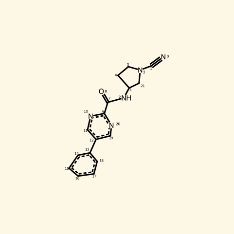 N#CN1CCC(NC(=O)c2ncc(-c3ccccc3)cn2)C1